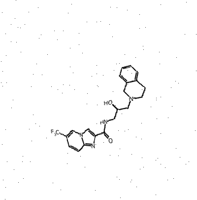 O=C(NCC(O)CN1CCc2ccccc2C1)c1cn2cc(C(F)(F)F)ccc2n1